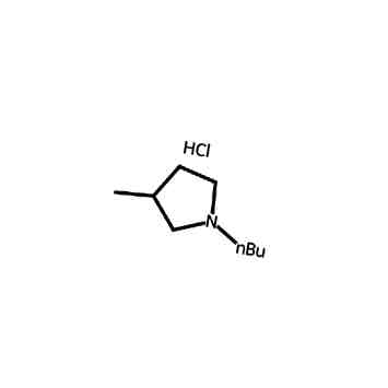 CCCCN1CCC(C)C1.Cl